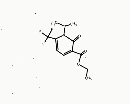 CCOC(=O)c1ccc(C(F)(F)F)n(N(C)C)c1=O